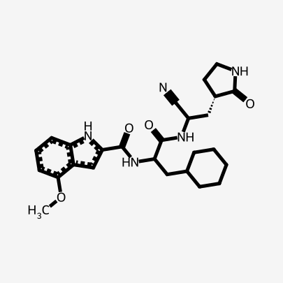 COc1cccc2[nH]c(C(=O)NC(CC3CCCCC3)C(=O)NC(C#N)C[C@@H]3CCNC3=O)cc12